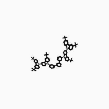 CC(C)(C)c1ccc2c(c1)c1cc(-n3c4ccc(C(C)(C)C)cc4c4cc(C(C)(C)C)ccc43)ccc1n2-c1cccc(-c2cccc(-c3cccc(-n4c5ccc(-n6c7ccc(C(C)(C)C)cc7c7cc(C(C)(C)C)ccc76)cc5c5cc(C(C)(C)C)ccc54)c3)c2)c1